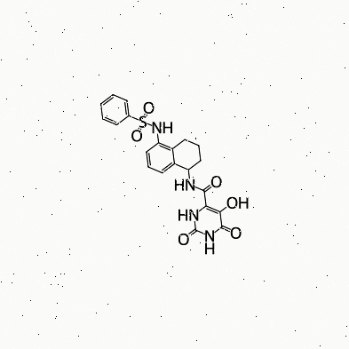 O=C(NC1CCCc2c(NS(=O)(=O)c3ccccc3)cccc21)c1[nH]c(=O)[nH]c(=O)c1O